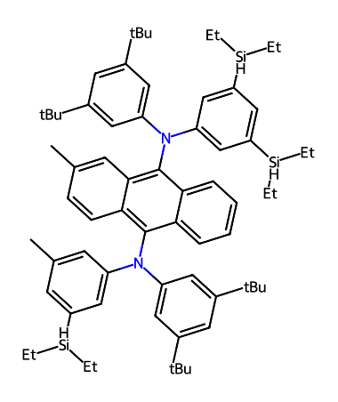 CC[SiH](CC)c1cc(C)cc(N(c2cc(C(C)(C)C)cc(C(C)(C)C)c2)c2c3ccccc3c(N(c3cc([SiH](CC)CC)cc([SiH](CC)CC)c3)c3cc(C(C)(C)C)cc(C(C)(C)C)c3)c3cc(C)ccc23)c1